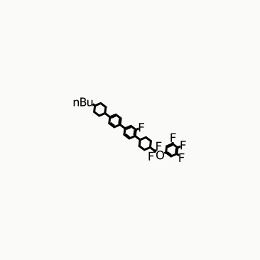 CCCCC1CCC(c2ccc(-c3ccc(C4CCC(C(F)(F)Oc5cc(F)c(F)c(F)c5)CC4)c(F)c3)cc2)CC1